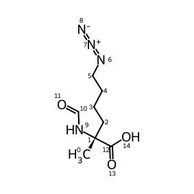 C[C@](CCCCN=[N+]=[N-])(NC=O)C(=O)O